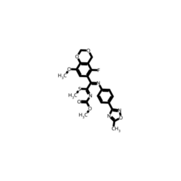 COC(=O)N=C(SC)C(=Nc1ccc(-c2noc(C)n2)cc1)c1cc(OC)c2c(c1F)COCO2